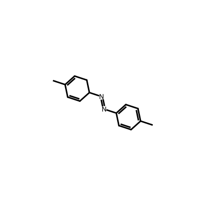 CC1=CCC(/N=N/c2ccc(C)cc2)C=C1